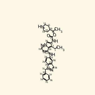 CCc1c(NC(=O)OC(C)C2CCNCC2)cn2ncnc(Nc3ccc4c(cnn4Cc4ccccc4)c3)c12